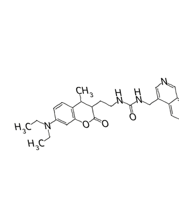 CCN(CC)c1ccc2c(c1)OC(=O)C(CCNC(=O)NCc1cncc3ccccc13)C2C